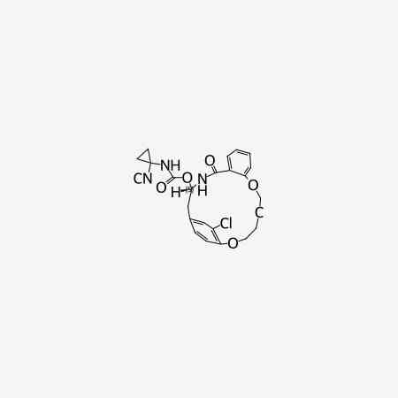 N#CC1(NC(=O)O[C@H]2Cc3ccc(c(Cl)c3)OCCCCOc3ccccc3C(=O)N2)CC1